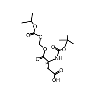 CC(C)OC(=O)OCOC(=O)[C@H](CC(=O)O)NC(=O)OC(C)(C)C